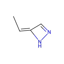 CC=C1C=NN1